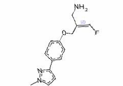 Cn1ccc(-c2ccc(OC/C(=C\F)CN)cc2)n1